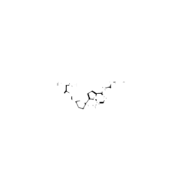 CCCCCOC(=O)Nc1ncnn2c([C@@]3(C#N)CC[C@@H](COC(=O)[C@@H](N)C(C)C)O3)ccc12